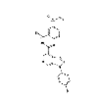 CC[C@H](NC(=O)c1cncc2c1cnn2-c1ccc(F)cc1)c1ccnc([S@+](C)[O-])c1